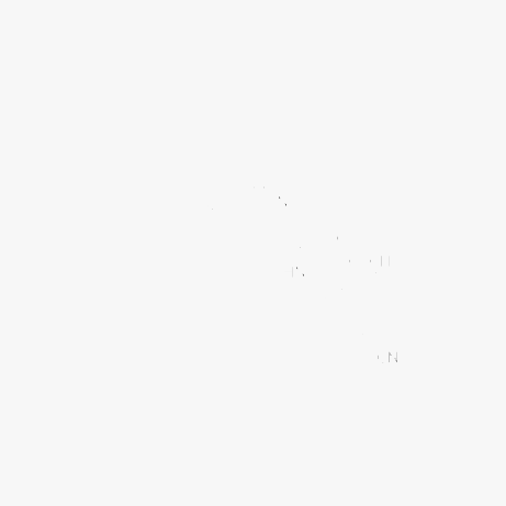 N#Cc1ccc(NC(=O)c2cc(SCc3ccccc3)on2)c(C(=O)O)c1